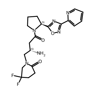 N[C@@H](CC(=O)N1CCC[C@H]1c1nc(-c2ccccn2)no1)CN1CC(F)(F)CCC1=O